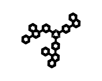 c1ccc(-c2c(-c3ccc(-c4nc(-c5ccc(-c6cccc7ccccc67)cc5)nc(-c5cccc(-c6ccc(-c7ccccc7)c7ccccc67)c5)n4)cc3)ccc3ccccc23)cc1